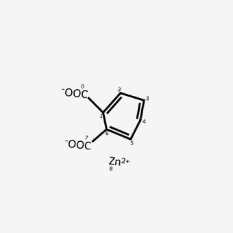 O=C([O-])c1ccccc1C(=O)[O-].[Zn+2]